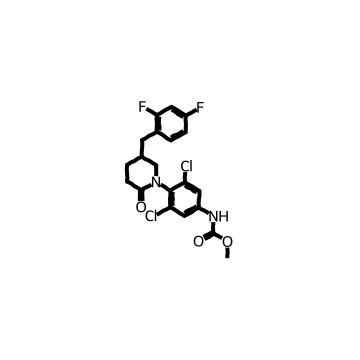 COC(=O)Nc1cc(Cl)c(N2CC(Cc3ccc(F)cc3F)CCC2=O)c(Cl)c1